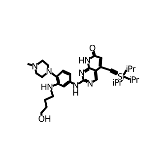 CC(C)[Si](C#Cc1cc(=O)[nH]c2nc(Nc3ccc(N4CCN(C)CC4)c(NCCCCO)c3)ncc12)(C(C)C)C(C)C